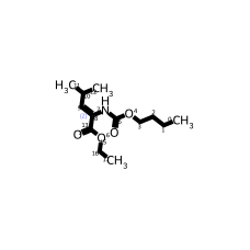 CCCCOC(=O)N/C(=C\C(C)C)C(=O)OCC